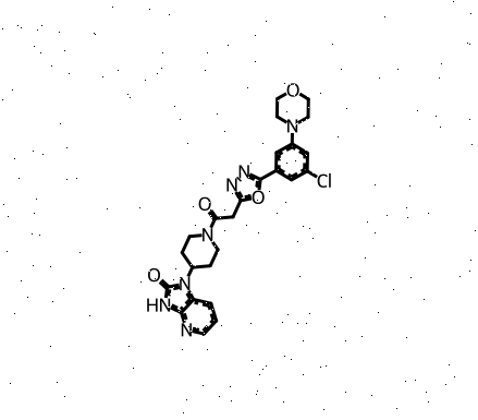 O=C(Cc1nnc(-c2cc(Cl)cc(N3CCOCC3)c2)o1)N1CCC(n2c(=O)[nH]c3ncccc32)CC1